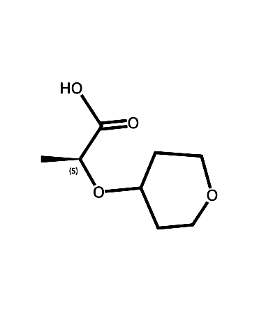 C[C@H](OC1CCOCC1)C(=O)O